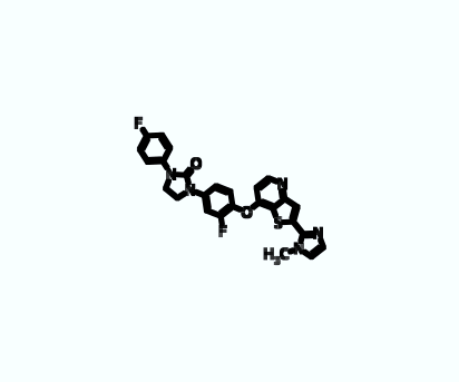 Cn1ccnc1-c1cc2nccc(Oc3ccc(N4CCN(c5ccc(F)cc5)C4=O)cc3F)c2s1